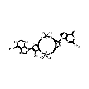 NC1=C2NCN(c3oc4c(c3O)O[PH](O)(O)O/C=C3/OC(n5cnc6c(=O)[nH]c(N)nc65)=C(O[PH](O)(O)OC4)[C@H]3O)C2NCN1